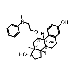 C=C[C@@]12CCc3cc(O)ccc3[C@H]1[C@@H](OCCN(C)c1ccccc1)C[C@@]1(C)[C@H]2CC[C@@H]1O